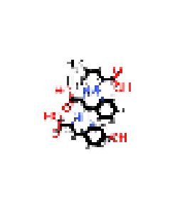 CC(C)C[C@H](N)C(=O)O.N[C@@H](Cc1ccc(O)cc1)C(=O)O.N[C@@H](Cc1ccccc1)C(=O)O